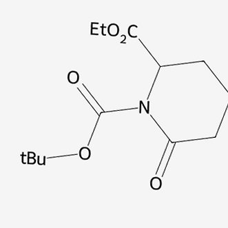 CCOC(=O)C1CCCC(=O)N1C(=O)OC(C)(C)C